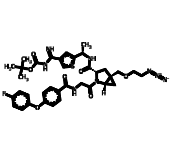 C[C@@H](NC(=O)[C@@H]1C[C@]2(COCCN=[N+]=[N-])C[C@@H]2N1C(=O)CNC(=O)c1ccc(Oc2ccc(F)cc2)cc1)c1cc(C(=N)NC(=O)OC(C)(C)C)cs1